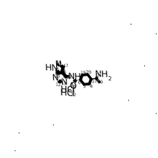 CC(N)[C@H]1CC[C@H](C(=O)Nc2ncnc3[nH]ncc23)CC1.Cl.Cl